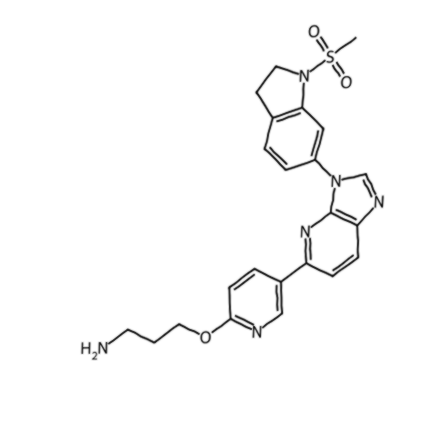 CS(=O)(=O)N1CCc2ccc(-n3cnc4ccc(-c5ccc(OCCCN)nc5)nc43)cc21